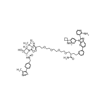 Cc1ncsc1-c1ccc(CNC(=O)[C@@H]2C[C@@H](O)CN2C(=O)[C@@H](NC(=O)CCOCCOCCOCCOCC(CCc2cccc(-c3ccc4nc(-c5cccnc5N)n(-c5ccc(C6(N)CCC6)cc5)c4n3)c2)C(N)=O)C(C)(C)C)cc1